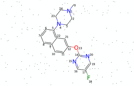 CN1CCN(c2cccc3ccc(Oc4ncc(F)cn4)cc23)CC1